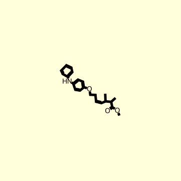 COC(=O)C(C)C(C)/C=C\CCOc1ccc(Nc2ccccc2)cc1